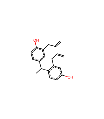 C=CCc1cc(C(C)c2ccc(O)cc2CC=C)ccc1O